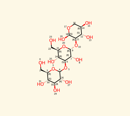 OC[C@H]1OC(O[C@@H]2[C@@H](O)[C@@H](O[C@@H]3[C@@H](O)[C@H](O)CO[C@@H]3O)O[C@H](CO)[C@H]2O)[C@H](O)[C@@H](O)[C@@H]1O